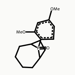 COc1ccc(P2(=O)C3CCCCC2CC3)c(OC)c1